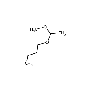 [CH2]C(OC)OCCCC